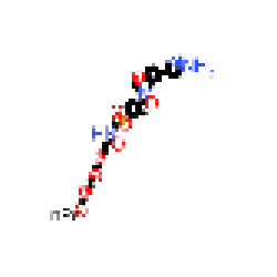 CCCOCCOCCOCCOCCC(=O)NCCS(=O)(=O)c1ccc(C(=O)N2CCOc3ccc(-c4ccc(N)nc4)cc3C2)c(C)c1